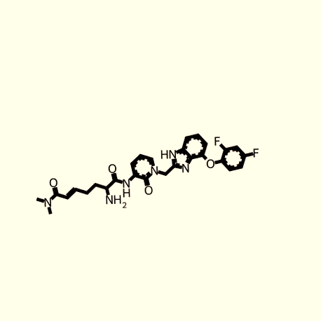 CN(C)C(=O)/C=C/CCC(N)C(=O)Nc1cccn(Cc2nc3c(Oc4ccc(F)cc4F)cccc3[nH]2)c1=O